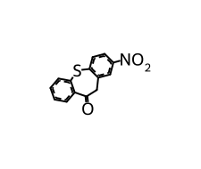 O=C1Cc2cc([N+](=O)[O-])ccc2Sc2ccccc21